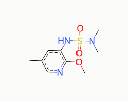 COc1ncc(C)cc1NS(=O)(=O)N(C)C